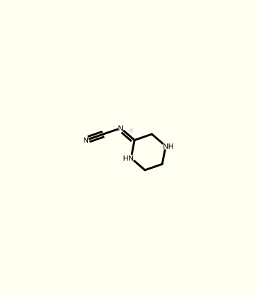 N#C/N=C1/CNCCN1